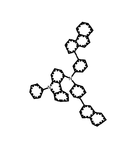 c1ccc(-n2c3ccccc3c3c(N(c4ccc(-c5ccc6ccccc6c5)cc4)c4cccc(-c5cccc6c5ccc5ccccc56)c4)cccc32)cc1